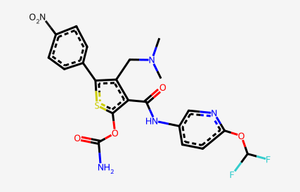 CN(C)Cc1c(-c2ccc([N+](=O)[O-])cc2)sc(OC(N)=O)c1C(=O)Nc1ccc(OC(F)F)nc1